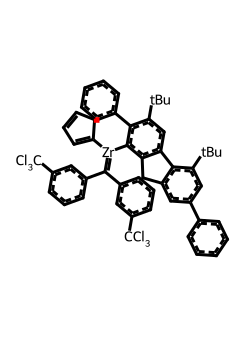 CC(C)(C)c1cc(-c2ccccc2)cc2c1-c1cc(C(C)(C)C)c(-c3ccccc3)[c]([Zr]([C]3=CC=CC3)=[C](c3cccc(C(Cl)(Cl)Cl)c3)c3cccc(C(Cl)(Cl)Cl)c3)c1C2